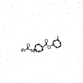 Cc1cccc(OC(=O)c2ccc(NC(=O)C(C)C)cc2)c1